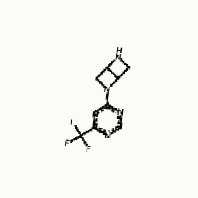 FC(F)(F)c1cc(N2CC3NCC32)ncn1